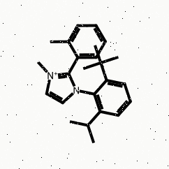 Cc1ccccc1-c1n(-c2c(C(C)C)cccc2C(C)(C)C)cc[n+]1C